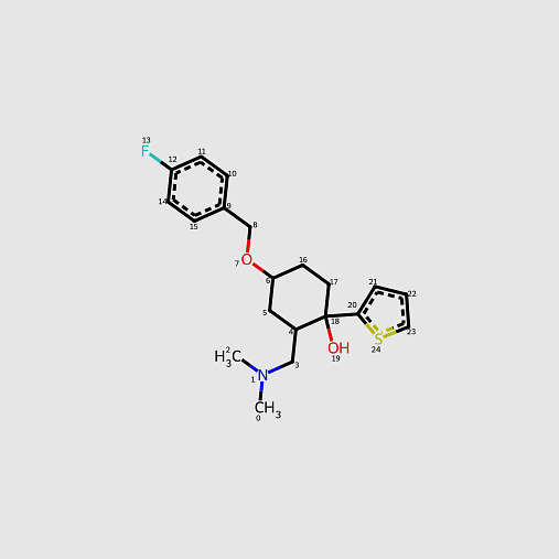 CN(C)CC1CC(OCc2ccc(F)cc2)CCC1(O)c1cccs1